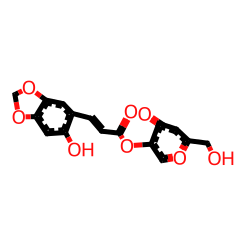 O=C(/C=C/c1cc2c(cc1O)OCO2)Oc1coc(CO)cc1=O